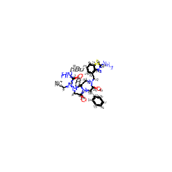 CCCCNC(=O)N(CC#N)N1CC(=O)N2[C@@H](c3ccccc3)C(=O)N(Cc3cccc4sc(N)nc34)C[C@@H]21